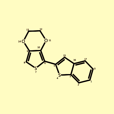 c1ccc2sc(-c3scc4c3OCCO4)cc2c1